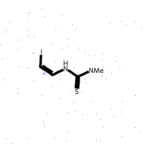 CNC(=S)N/C=C\I